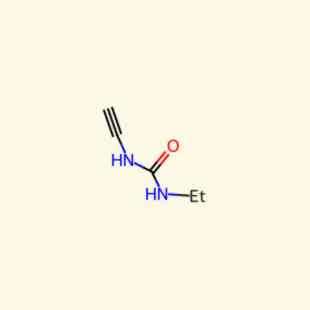 C#CNC(=O)NCC